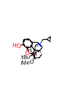 CO[C@]12CC[C@@]3(C[C@@H]1C(C)(C)C)C1Cc4ccc(O)c5c4[C@@]3(CCN1CC1CC1)[C@H]2O5